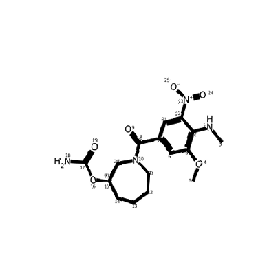 CNc1c(OC)cc(C(=O)N2CCCC[C@@H](OC(N)=O)C2)cc1[N+](=O)[O-]